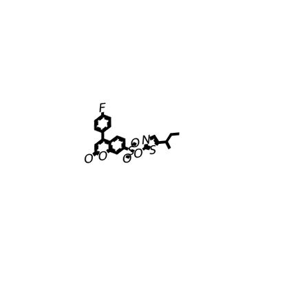 CCC(C)c1cnc(OS(=O)(=O)c2ccc3c(-c4ccc(F)cc4)cc(=O)oc3c2)s1